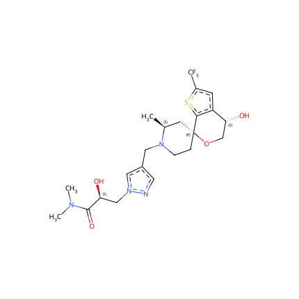 C[C@H]1C[C@@]2(CCN1Cc1cnn(C[C@H](O)C(=O)N(C)C)c1)OC[C@@H](O)c1cc(C(F)(F)F)sc12